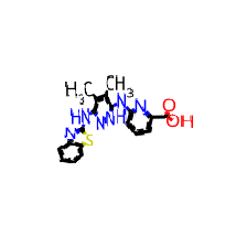 Cc1c(Nc2cccc(C(=O)O)n2)nnc(Nc2nc3ccccc3s2)c1C